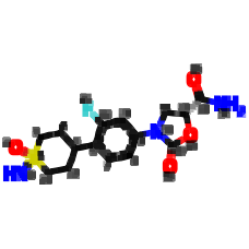 N=S1(=O)CCC(c2ccc(N3C[C@H](C(N)=O)OC3=O)cc2F)CC1